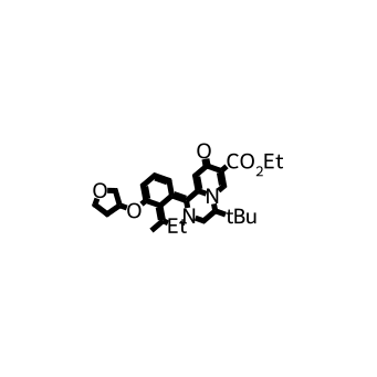 CCOC(=O)c1cn2c(cc1=O)/C(=c1\cccc(OC3CCOC3)\c1=C(/C)CC)N(C)CC2C(C)(C)C